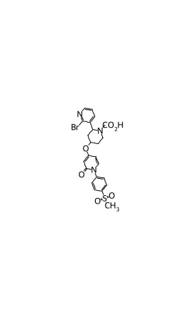 CS(=O)(=O)c1ccc(-n2ccc(OC3CCN(C(=O)O)C(c4cccnc4Br)C3)cc2=O)cc1